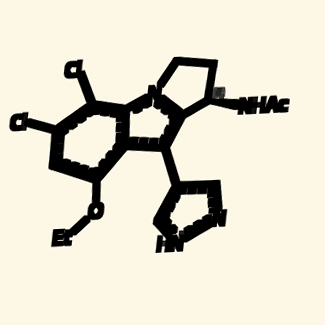 CCOc1cc(Cl)c(Cl)c2c1c(-c1cn[nH]c1)c1n2CC[C@H]1NC(C)=O